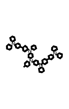 Cc1ccc(N(c2ccc(N(c3ccccc3)c3ccc(-c4ccc(N(c5ccccc5)c5ccccc5)cc4)cc3)cc2)c2ccc(N(c3ccccc3)c3ccc(-c4ccc(N(c5ccccc5)c5ccccc5)cc4)cc3)cc2)cc1